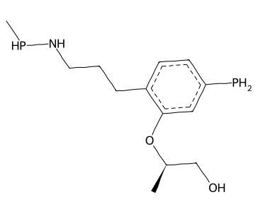 CPNCCCc1ccc(P)cc1O[C@H](C)CO